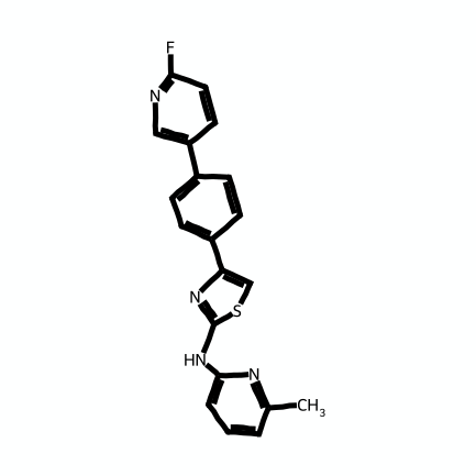 Cc1cccc(Nc2nc(-c3ccc(-c4ccc(F)nc4)cc3)cs2)n1